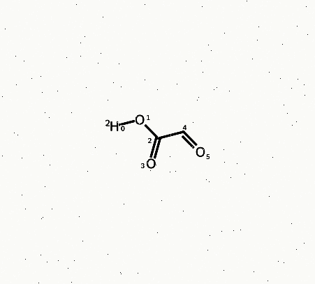 [2H]OC(=O)C=O